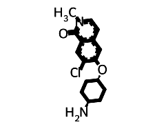 Cn1ccc2cc(O[C@H]3CC[C@H](N)CC3)c(Cl)cc2c1=O